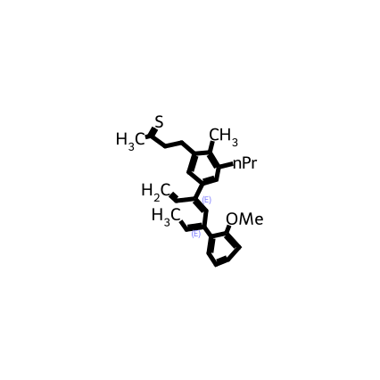 C=C/C(=C\C(=C/C)c1ccccc1OC)c1cc(CCC)c(C)c(CCC(C)=S)c1